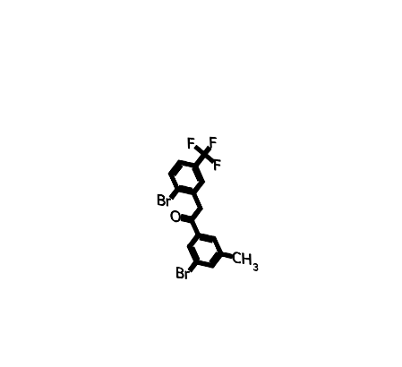 Cc1cc(Br)cc(C(=O)Cc2cc(C(F)(F)F)ccc2Br)c1